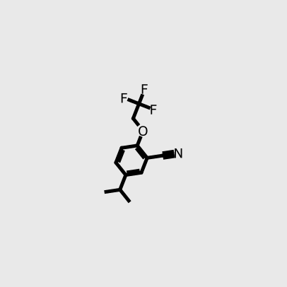 CC(C)c1ccc(OCC(F)(F)F)c(C#N)c1